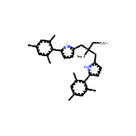 CNCC(Cc1ccc(-c2c(C)cc(C)cc2C)[nH]1)(Cc1ccc(-c2c(C)cc(C)cc2C)[nH]1)NC